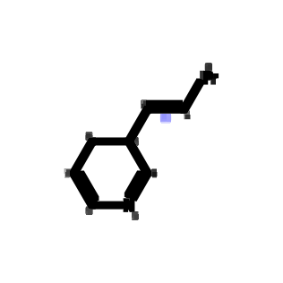 CC(C)/C=C/C1C=NC=CC1